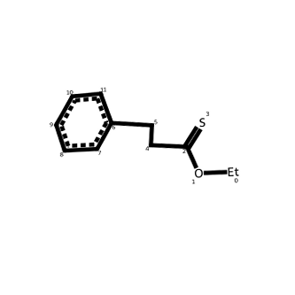 CCOC(=S)CCc1ccccc1